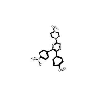 COc1ccc(-c2nnc(N3CCN(C)CC3)nc2-c2ccc([S+](C)[O-])cc2)cc1